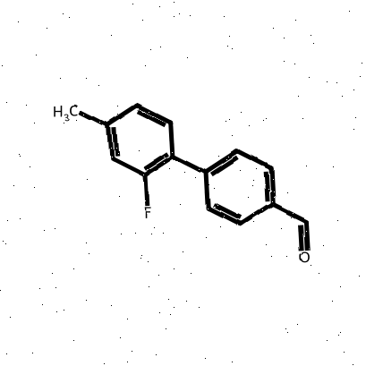 Cc1ccc(-c2ccc(C=O)cc2)c(F)c1